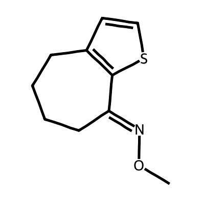 CON=C1CCCCc2ccsc21